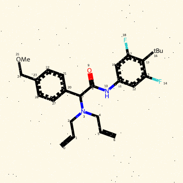 C=CCN(CC=C)C(C(=O)Nc1cc(F)c(C(C)(C)C)c(F)c1)c1ccc(COC)cc1